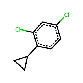 Clc1ccc(C2CC2)c(Cl)c1